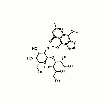 COc1c2occc2c(OC)c2c(=O)cc(C)oc12.OC[C@@H](O)[C@@H](O[C@@H]1O[C@H](CO)[C@H](O)[C@H](O)[C@H]1O)[C@H](O)[C@@H](O)CO